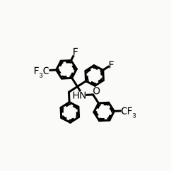 O=C(NC(Cc1ccccc1)(c1ccc(F)cc1)c1cc(F)cc(C(F)(F)F)c1)c1cccc(C(F)(F)F)c1